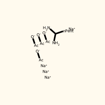 CC(=O)[O-].CC(=O)[O-].CC(=O)[O-].CC(=O)[O-].CCCCCC(N)N.[Na+].[Na+].[Na+].[Na+]